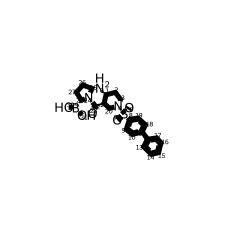 N[C@@H]1CCN(S(=O)(=O)c2ccc(-c3ccccc3)cc2)C[C@H]1C(=O)N1CCC[C@H]1B(O)O